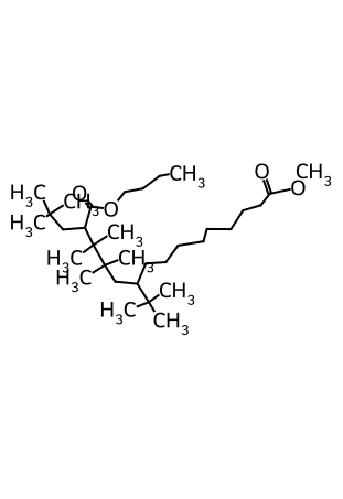 CCCCOC(=O)C(CC(C)(C)C)C(C)(C)C(C)(C)CC(CCCCCCCCC(=O)OC)C(C)(C)C